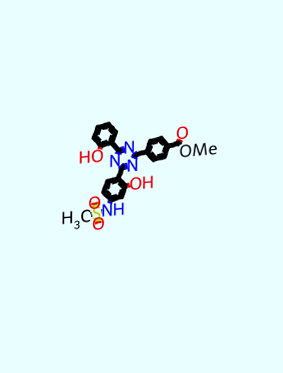 COC(=O)c1ccc(-c2nc(-c3ccccc3O)nc(-c3ccc(NS(C)(=O)=O)cc3O)n2)cc1